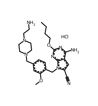 CCCCOc1nc(N)c2cc(C#N)n(Cc3ccc(CN4CCN(CCN)CC4)cc3OC)c2n1.Cl